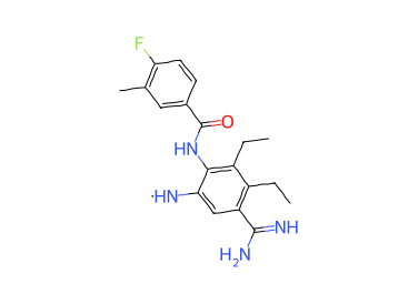 CCc1c(C(=N)N)cc([NH])c(NC(=O)c2ccc(F)c(C)c2)c1CC